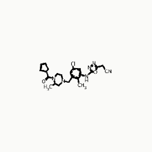 Cc1c(CN2CCN(C(=O)C3CCCC3)C(C)C2)cc(Cl)cc1Nc1nnc(CC#N)o1